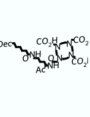 CCCCCCCCCCCCCCCC(=O)NCCCC[C@@H](NC(=O)CN1CCN(CC(=O)O)CCN(CC(=O)O)CCN(CC(=O)O)CC1)C(C)=O